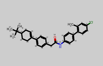 Cc1cc(Cl)ccc1-c1ccc(NC(=O)Cc2ccc(C3=CCC(C(C)(C)C)CC3)cc2)cc1